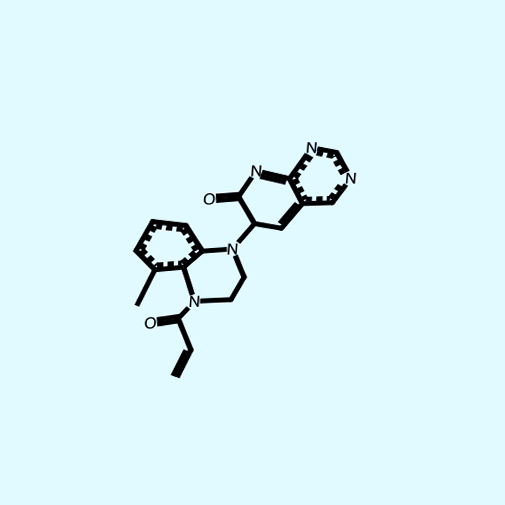 C=CC(=O)N1CCN(C2C=c3cncnc3=NC2=O)c2cccc(C)c21